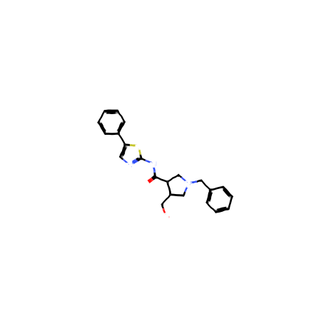 O=C(Nc1ncc(-c2ccccc2)s1)C1CN(Cc2ccccc2)CC1CO